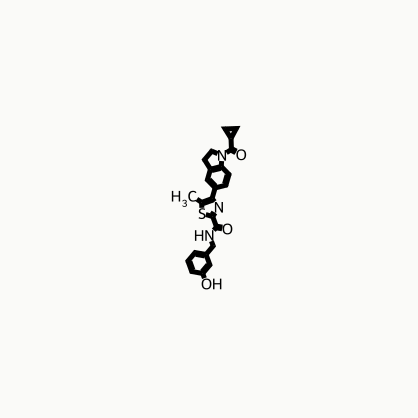 Cc1sc(C(=O)NCc2cccc(O)c2)nc1-c1ccc2c(c1)CCN2C(=O)C1CC1